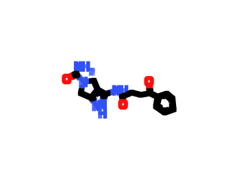 NC(=O)N1Cc2n[nH]c(NC(=O)CCC(=O)c3ccccc3)c2C1